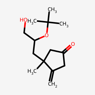 C=C1CC(=O)CC1(C)CC(CO)OC(C)(C)C